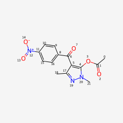 CC(=O)Oc1c(C(=O)c2ccc([N+](=O)[O-])cc2)c(C)nn1C